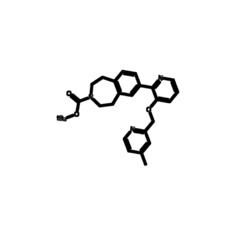 Cc1ccnc(COc2cccnc2-c2ccc3c(c2)CCN(C(=O)OC(C)(C)C)CC3)c1